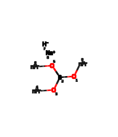 CCCOB(OCCC)OCCC.[H-].[Na+]